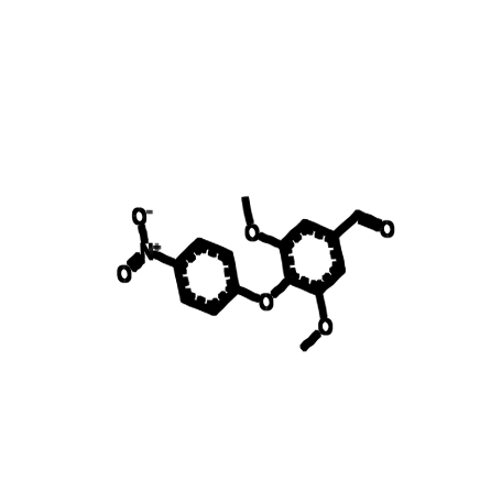 COc1cc(C=O)cc(OC)c1Oc1ccc([N+](=O)[O-])cc1